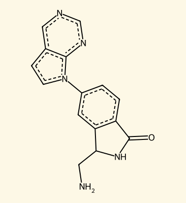 NCC1NC(=O)c2ccc(-n3ccc4cncnc43)cc21